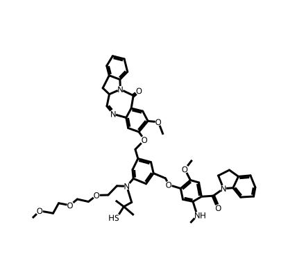 CNc1cc(OCc2cc(COc3cc4c(cc3OC)C(=O)N3c5ccccc5CC3C=N4)cc(N(CCOCCOCCOC)CC(C)(C)S)c2)c(OC)cc1C(=O)N1CCc2ccccc21